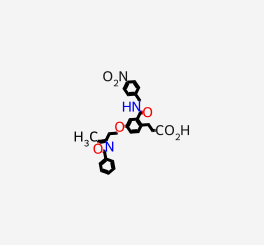 Cc1oc(-c2ccccc2)nc1CCOc1ccc(CCC(=O)O)c(C(=O)NCc2ccc([N+](=O)[O-])cc2)c1